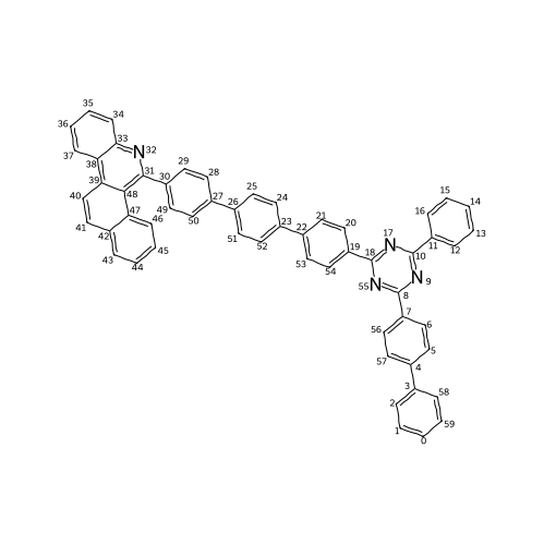 c1ccc(-c2ccc(-c3nc(-c4ccccc4)nc(-c4ccc(-c5ccc(-c6ccc(-c7nc8ccccc8c8ccc9ccccc9c78)cc6)cc5)cc4)n3)cc2)cc1